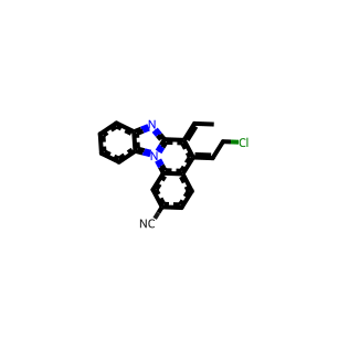 C/C=c1\c(=C/CCl)c2ccc(C#N)cc2n2c1nc1ccccc12